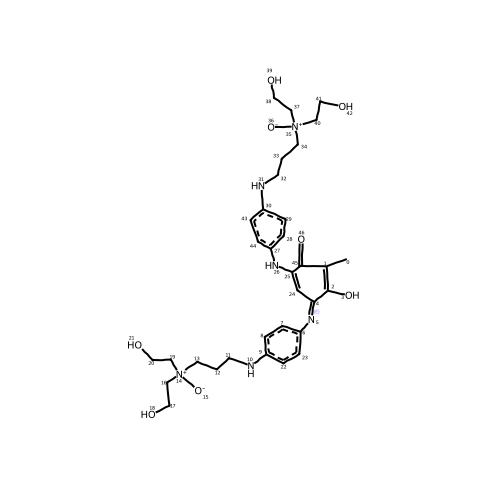 CC1=C(O)/C(=N/c2ccc(NCCC[N+]([O-])(CCO)CCO)cc2)C=C(Nc2ccc(NCCC[N+]([O-])(CCO)CCO)cc2)C1=O